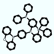 c1ccc(P(c2ccccc2)c2ccc3c(c2)P(c2ccc(N4c5ccccc5Oc5ccccc54)cc2)c2ccccc2[Si]3(c2ccccc2)c2ccccc2)cc1